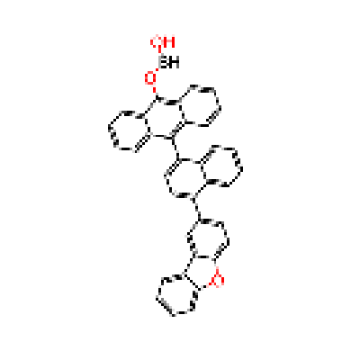 OBOc1c2ccccc2c(-c2ccc(-c3ccc4oc5ccccc5c4c3)c3ccccc23)c2ccccc12